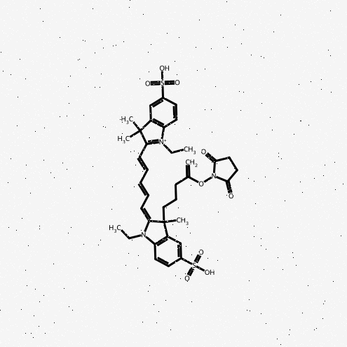 C=C(CCCC1(C)\C(=C/C=C/C=C/C2=[N+](CC)c3ccc(S(=O)(=O)O)cc3C2(C)C)N(CC)c2ccc(S(=O)(=O)O)cc21)ON1C(=O)CCC1=O